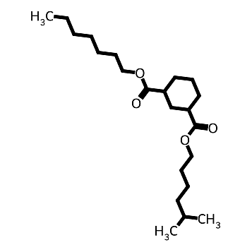 CCCCCCCOC(=O)C1CCCC(C(=O)OCCCCC(C)C)C1